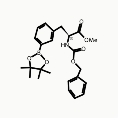 COC(=O)[C@H](Cc1cccc(B2OC(C)(C)C(C)(C)O2)c1)NC(=O)OCc1ccccc1